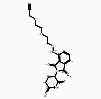 C#CCOCCOCCONc1cccc2c1C(=O)N(C1CCC(=O)NC1=O)C2=O